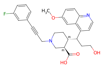 COc1ccc2nccc(C(CCO)[C@H]3CCN(CC#Cc4cccc(F)c4)C[C@@H]3C(=O)O)c2c1